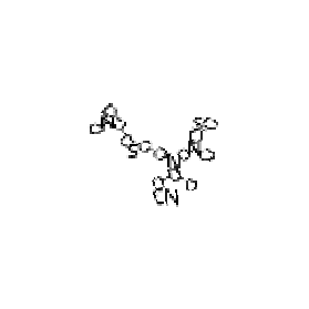 N#Cc1cccc(-c2cc(-c3ccccc3)cc(N(c3ccc(-c4ccc5c(c4)sc4ccc(-c6ccc7c8ccccc8n(-c8ccccc8)c7c6)cc45)cc3)c3ccc(N(c4ccccc4)c4ccc5sc6ccccc6c5c4)cc3)c2)c1